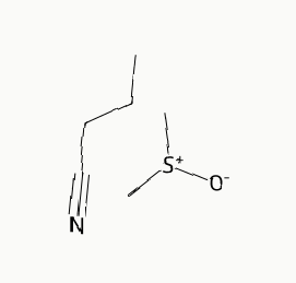 CCCC#N.C[S+](C)[O-]